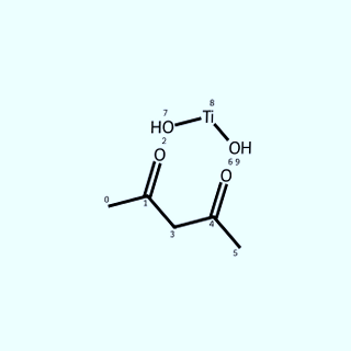 CC(=O)CC(C)=O.[OH][Ti][OH]